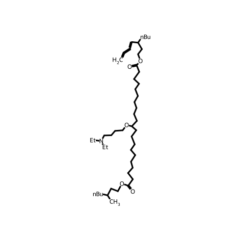 C=C=C=CC(CCCC)CCOC(=O)CCCCCCCCCC(CCCCCCCCCC(=O)OCCC(C)CCCC)OCCCCN(CC)CC